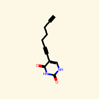 C#CCCCC#Cc1c[nH]c(=O)[nH]c1=O